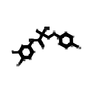 Cc1cc(NC(=O)C(C)(O)COc2ccc(F)cc2)ccc1F